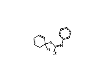 CCC(=Nc1ccccc1)SC1(CC)C=CC=CC1